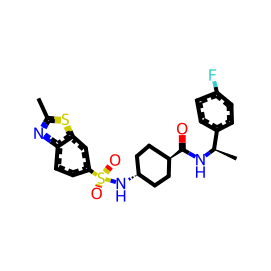 Cc1nc2ccc(S(=O)(=O)N[C@H]3CC[C@H](C(=O)N[C@H](C)c4ccc(F)cc4)CC3)cc2s1